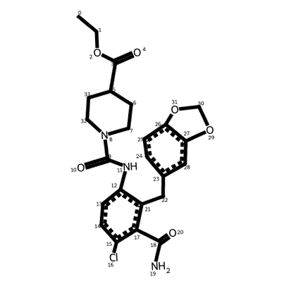 CCOC(=O)C1CCN(C(=O)Nc2ccc(Cl)c(C(N)=O)c2Cc2ccc3c(c2)OCO3)CC1